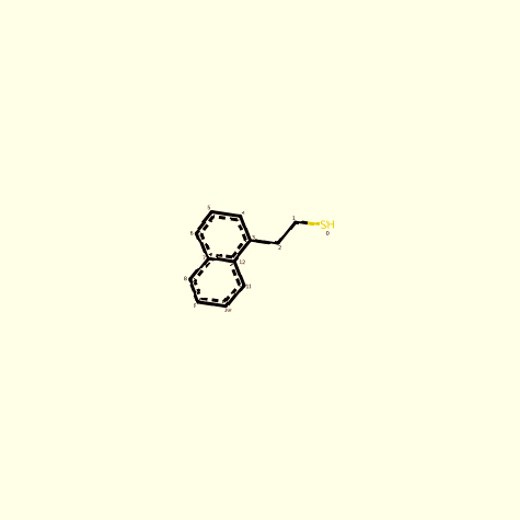 SCCc1cccc2ccccc12